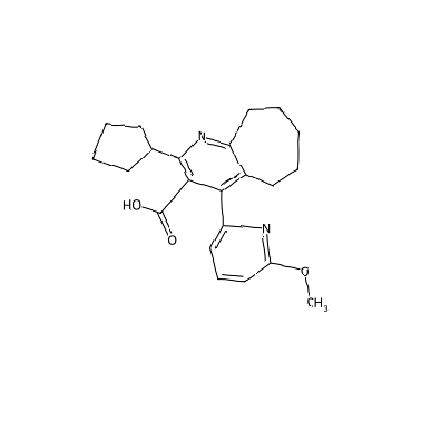 COc1cccc(-c2c3c(nc(C4CCCC4)c2C(=O)O)CCCCC3)n1